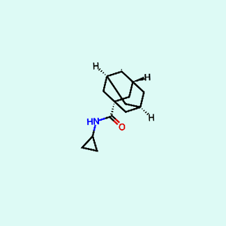 O=C(NC1CC1)[C@]12C[C@@H]3[CH][C@@H](C[C@@H](C3)C1)C2